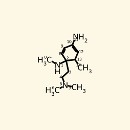 CNC1(CCN(C)C)C=CC(N)=CC1C